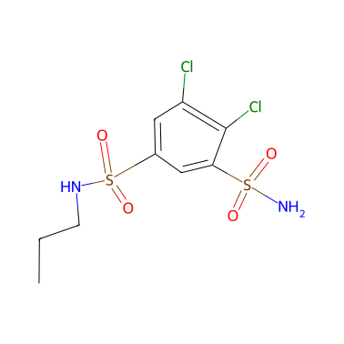 CCCNS(=O)(=O)c1cc(Cl)c(Cl)c(S(N)(=O)=O)c1